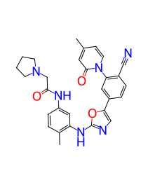 Cc1ccn(-c2cc(-c3cnc(Nc4cc(NC(=O)CN5CCCC5)ccc4C)o3)ccc2C#N)c(=O)c1